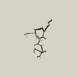 C=C/C=C(\C=C/CN)C(C)NC(C)CC(C)(CC)CC